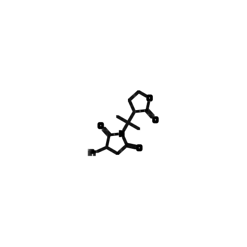 CC(C)C1CC(=O)N(C(C)(C)C2CCOC2=O)C1=O